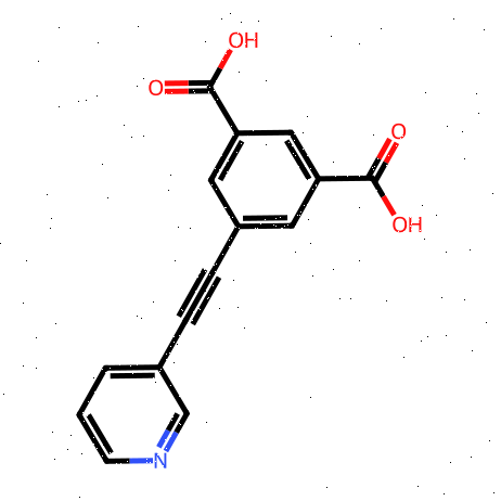 O=C(O)c1cc(C#Cc2cccnc2)cc(C(=O)O)c1